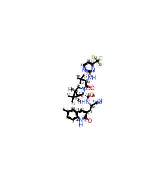 Cc1ccc2[nH]c(=O)c(CC(C#N)NC(=O)[C@@H]3[C@@H]4[C@H](CN3C(=O)[C@@H](Nc3nccc(C(F)(F)F)n3)C(C)(C)C)C4(C)C)cc2c1